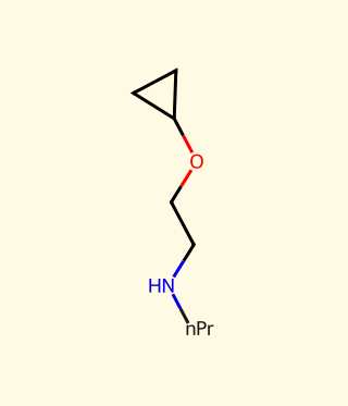 CCCNCCOC1CC1